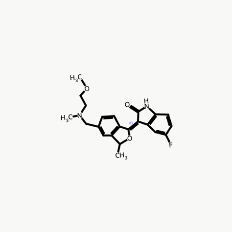 COCCN(C)Cc1ccc2c(c1)C(C)O/C2=C1/C(=O)Nc2ccc(F)cc21